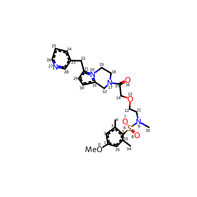 COc1cc(C)c(S(=O)(=O)N(C)CCOCC(=O)N2CCn3c(Cc4cccnc4)ccc3C2)c(C)c1